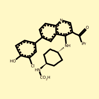 CC(C)C(=O)c1cnc2ccc(-c3ccc(O)c(Cl)c3)cc2c1N[C@H]1CC[C@H](NC(=O)O)CC1